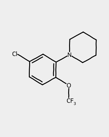 FC(F)(F)Oc1ccc(Cl)cc1N1CCCCC1